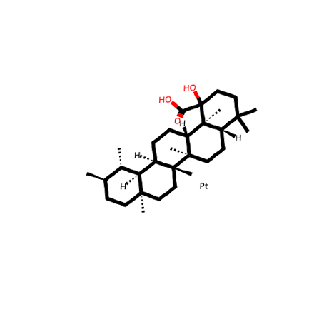 C[C@@H]1[C@H]2[C@H]3CC[C@@H]4[C@]5(C)[C@@H](CC[C@@]4(C)[C@]3(C)CC[C@@]2(C)CC[C@H]1C)C(C)(C)CCC5(O)C(=O)O.[Pt]